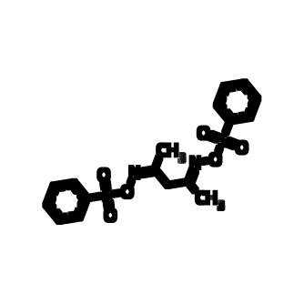 CC(CC(C)=NOS(=O)(=O)c1ccccc1)=NOS(=O)(=O)c1ccccc1